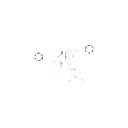 CC(C)(C)OC(=O)CCN1C(=O)C(COCc2ccccc2)NC(=O)C12CCN(CCc1ccccc1)CC2